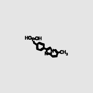 Cc1ccc2nc(-c3ccc(CP(O)O)cc3)cn2c1